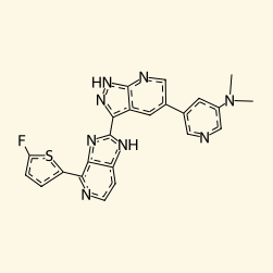 CN(C)c1cncc(-c2cnc3[nH]nc(-c4nc5c(-c6ccc(F)s6)nccc5[nH]4)c3c2)c1